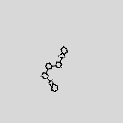 c1cc(-c2cncc(-c3nc4ccccc4o3)c2)cc(-c2cncc(-c3nc4ccccc4o3)c2)c1